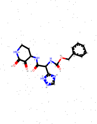 O=C(NC(C(=O)NC1CCNC(=O)C1=O)c1ncn[nH]1)OCc1ccccc1